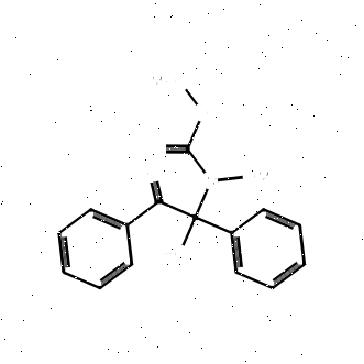 COOC(=O)N(OC)C(O)(C(=O)c1ccccc1)c1ccccc1